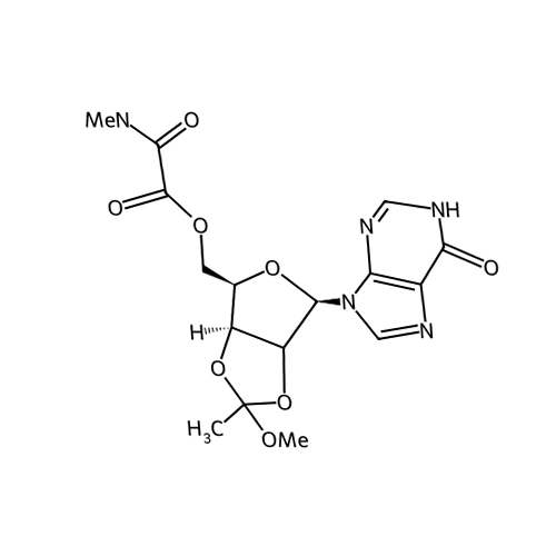 CNC(=O)C(=O)OC[C@H]1O[C@@H](n2cnc3c(=O)[nH]cnc32)C2OC(C)(OC)O[C@H]21